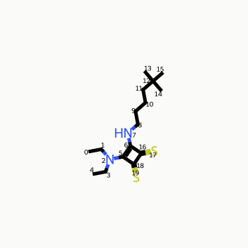 CCN(CC)c1c(NCCCCC(C)(C)C)c(=S)c1=S